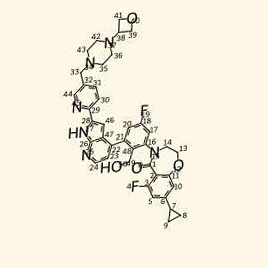 O=C1c2c(F)cc(C3CC3)cc2OCCN1c1cc(F)cc(-c2ccnc3[nH]c(-c4ccc(CN5CCN(C6COC6)CC5)cn4)cc23)c1CO